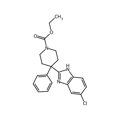 CCOC(=O)N1CCC(c2ccccc2)(c2nc3cc(Cl)ccc3[nH]2)CC1